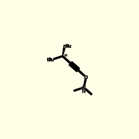 CCCC[C@@H](C#CO[SiH](C)C)C(C)(C)C